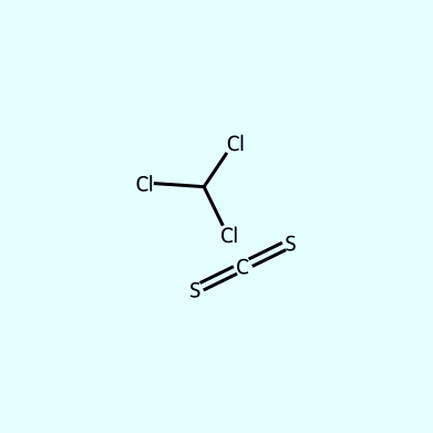 ClC(Cl)Cl.S=C=S